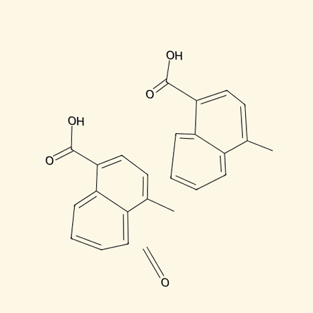 C=O.Cc1ccc(C(=O)O)c2ccccc12.Cc1ccc(C(=O)O)c2ccccc12